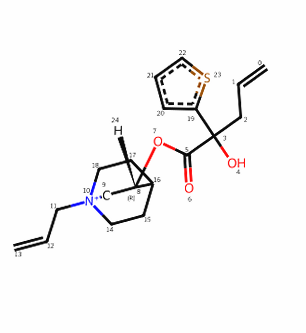 C=CCC(O)(C(=O)O[C@H]1C[N+]2(CC=C)CCC1CC2)c1cccs1